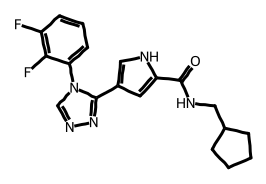 O=C(NCC1CCCC1)c1cc(-c2nncn2-c2cccc(F)c2F)c[nH]1